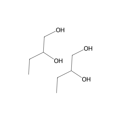 CCC(O)CO.CCC(O)CO